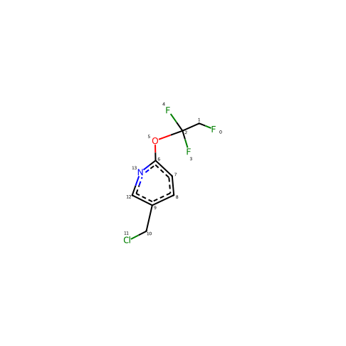 FCC(F)(F)Oc1ccc(CCl)cn1